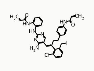 C=CC(=O)Nc1ccc(CC/C(=C\c2cnc(Nc3ccccc3NC(=O)C=C)nc2N)c2c(Cl)cccc2CI)cc1